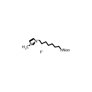 CCCCCCCCCCCCCCCC[n+]1ccn(C)c1.[F-]